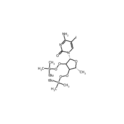 C[C@H]1O[C@@H](n2cc(I)c(N)nc2=O)C(OO[Si](C)(C)C(C)(C)C)C1OO[Si](C)(C)C(C)(C)C